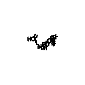 CCC(O)(C#CCC[C@H](C)C1=CC[C@H]2C3=CC=C4CC(O[Si](C)(C)C(C)(C)C)(O[Si](C)(C)C(C)(C)C)CC[C@]4(C)[C@H]3CC[C@]12C)CC